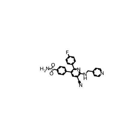 N#Cc1cc(-c2ccc(S(N)(=O)=O)cc2)c(-c2ccc(F)cc2)nc1NCc1ccncc1